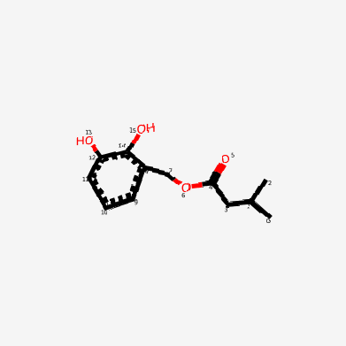 CC(C)CC(=O)OCc1cccc(O)c1O